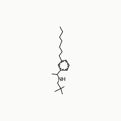 CCCCCCCc1cccc(C(C)NCC(C)(C)C)c1